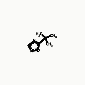 CC(C)(C)c1ncno1